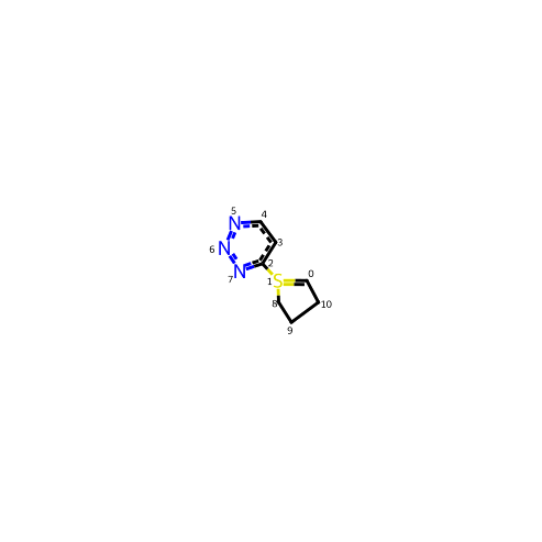 C1=S(c2ccnnn2)CCC1